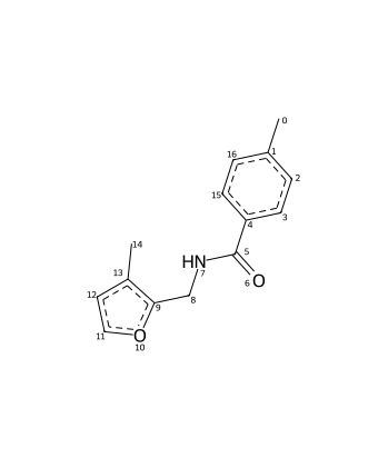 Cc1ccc(C(=O)NCc2occc2C)cc1